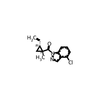 C=C[C@H]1C[C@@]1(C)C(=O)n1ncc2c(Cl)cccc21